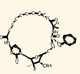 C[C@@H]1N[P@@](=O)(Oc2ccccc2)OCC2OC(n3ccc(nc3=O)NC(=O)CCCCCCCCOC1=O)[C@](C)(F)[C@@H]2O